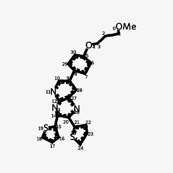 COCCCOc1ccc(-c2cnc3nc(-c4cccs4)c(-c4cccs4)nc3c2)cc1